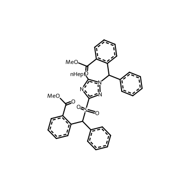 CCCCCCCc1nc(S(=O)(=O)C(c2ccccc2)c2ccccc2C(=O)OC)nn1C(c1ccccc1)c1ccccc1C(=O)OC